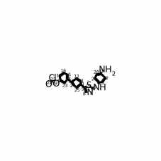 Nc1ccc(Nc2ncc(-c3ccc(-c4cccc(OC(=O)Cl)c4)cc3)s2)cc1